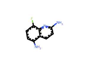 Nc1ccc2c(N)ccc(F)c2n1